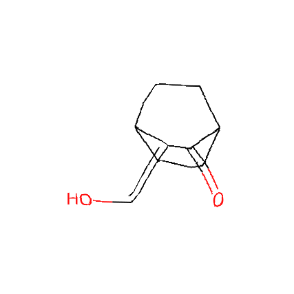 O=C1/C(=C/O)C2CCC1CC2